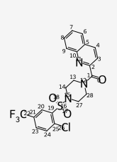 O=C(c1ccc2ccccc2n1)N1CCN(S(=O)(=O)c2cc(C(F)(F)F)ccc2Cl)CC1